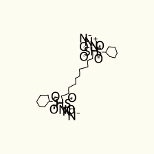 [N-]=[N+]=NC(CCCCCCCCCCC(N=[N+]=[N-])([SH](=O)=O)S(=O)(=O)C1CCCCC1)([SH](=O)=O)S(=O)(=O)C1CCCCC1